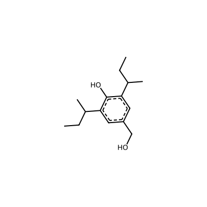 CCC(C)c1cc(CO)cc(C(C)CC)c1O